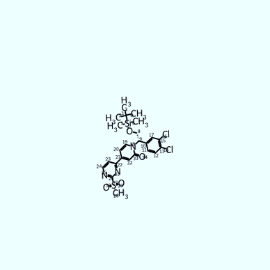 CC(C)(C)[Si](C)(C)OC[C@H](c1ccc(Cl)c(Cl)c1)n1ccc(-c2ccnc(S(C)(=O)=O)n2)cc1=O